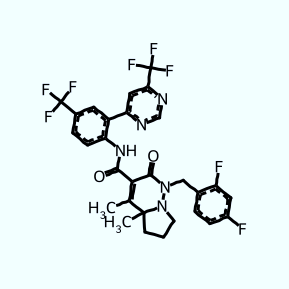 CC1=C(C(=O)Nc2ccc(C(F)(F)F)cc2-c2cc(C(F)(F)F)ncn2)C(=O)N(Cc2ccc(F)cc2F)N2CCCC12C